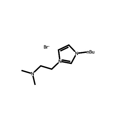 CCCCn1cc[n+](CCN(C)C)c1.[Br-]